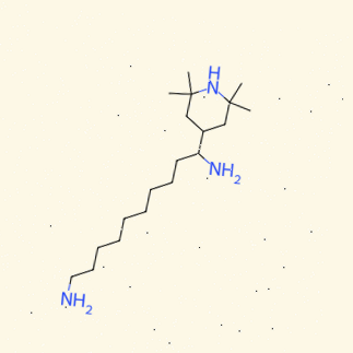 CC1(C)CC(C(N)CCCCCCCCCN)CC(C)(C)N1